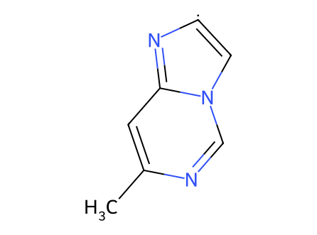 Cc1cc2n[c]cn2cn1